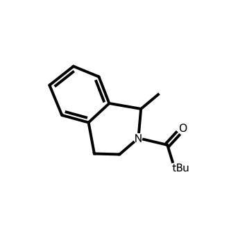 CC1c2ccccc2CCN1C(=O)C(C)(C)C